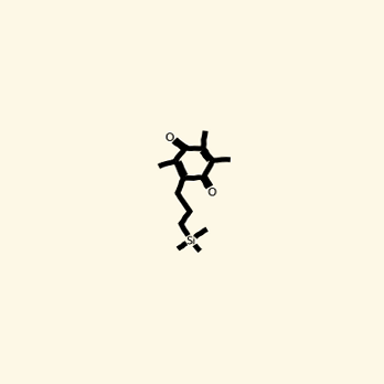 CC1=C(C)C(=O)C(CCC[Si](C)(C)C)=C(C)C1=O